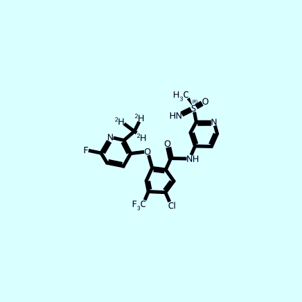 [2H]C([2H])([2H])c1nc(F)ccc1Oc1cc(C(F)(F)F)c(Cl)cc1C(=O)Nc1ccnc([S@](C)(=N)=O)c1